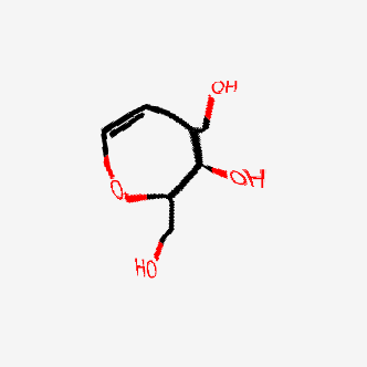 OCC1OC=CC(O)[C@H]1O